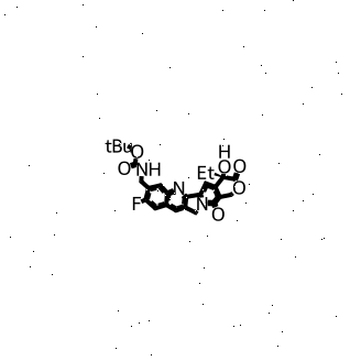 CC[C@@]1(O)C(=O)OCc2c1cc1n(c2=O)Cc2cc3cc(F)c(CNC(=O)OC(C)(C)C)cc3nc2-1